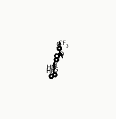 FC(F)(F)Oc1ccc(-c2onc3c2CCc2cc(/C=N/NC(=S)Nc4cccc5ccccc45)ccc2-3)cc1